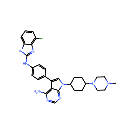 CN1CCN(C2CCC(n3cc(-c4ccc(Nc5nc6c(Cl)cccc6[nH]5)cc4)c4c(N)ncnc43)CC2)CC1